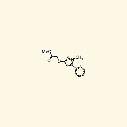 COC(=O)COc1cc(-c2ccccn2)n(C)n1